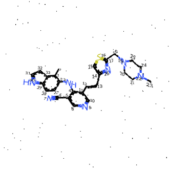 Cc1c(Nc2c(C#N)cncc2C=Cc2csc(CN3CCN(C)CC3)n2)ccc2[nH]ccc12